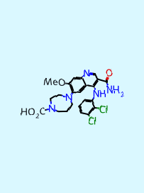 COc1cc2ncc(C(N)=O)c(Nc3cccc(Cl)c3Cl)c2cc1N1CCCN(C(=O)O)CC1